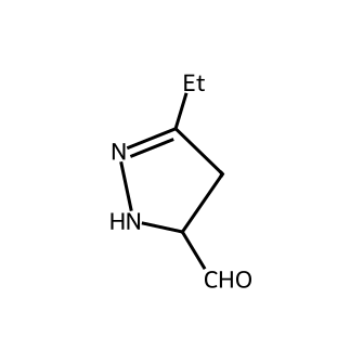 CCC1=NNC(C=O)C1